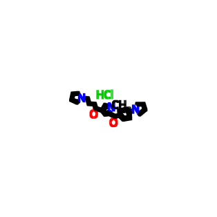 Cl.Cn1cc(C(=O)CCCN2CCCC2)cc1C(=O)c1ccc(N2CCCC2)cc1